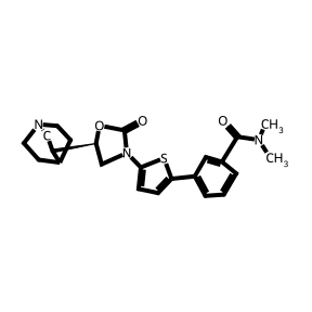 CN(C)C(=O)c1cccc(-c2ccc(N3C[C@@H](C4CN5CCC4CC5)OC3=O)s2)c1